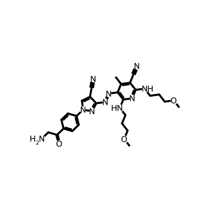 COCCCNc1nc(NCCCOC)c(/N=N/c2nn(-c3ccc(C(=O)CN)cc3)cc2C#N)c(C)c1C#N